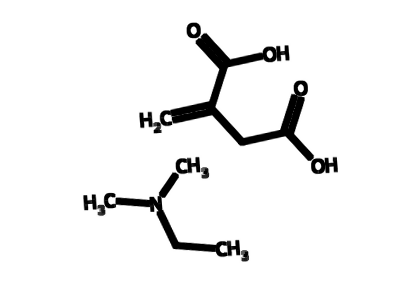 C=C(CC(=O)O)C(=O)O.CCN(C)C